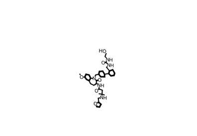 COc1ccc2c(c1)CC[C@@H](NC(=O)CC(C)(C)NCc1ccco1)C(=O)N2Cc1ccc(-c2ccccc2CNC(=O)NCCO)cc1